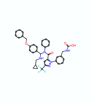 O=C(O)NCc1cccc(-n2nc(C(F)(F)F)cc2C(=O)N(c2ccccc2)C(NCC2CC2)c2ccc(OCc3ccccc3)cc2)c1